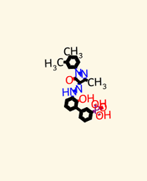 CC1=NN(c2ccc(C)c(C)c2)C(=O)C1=NNc1cccc(-c2cccc(P(=O)(O)O)c2)c1O